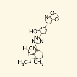 CCC[C@]1(C)CCCC[C@H](N(C)c2cnc(-c3ccc(-c4cnc5c(c4)OCCO5)cc3O)nn2)[C@@H]1F